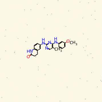 COc1cccc(Nc2nc(Nc3ccc4c(c3)CCC(=O)N4)ncc2C)c1